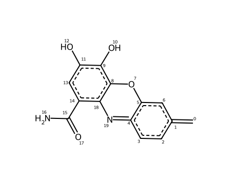 C=c1ccc2c(c1)Oc1c(O)c(O)cc(C(N)=O)c1N=2